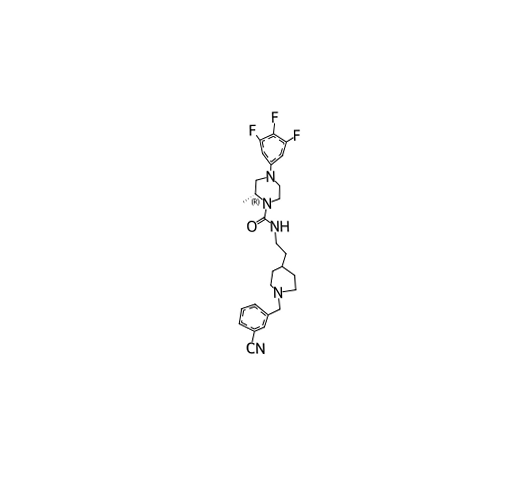 C[C@@H]1CN(c2cc(F)c(F)c(F)c2)CCN1C(=O)NCCC1CCN(Cc2cccc(C#N)c2)CC1